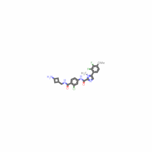 COc1ccc(-c2cnc(C(=O)Nc3ccc(C(=O)NCC4CC(N)C4)c(Cl)c3)n2C)c(F)c1F